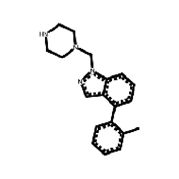 Cc1ccccc1-c1cccc2c1cnn2CN1CCNCC1